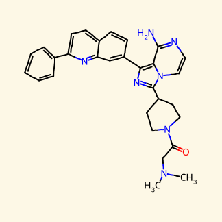 CN(C)CC(=O)N1CCC(c2nc(-c3ccc4ccc(-c5ccccc5)nc4c3)c3c(N)nccn23)CC1